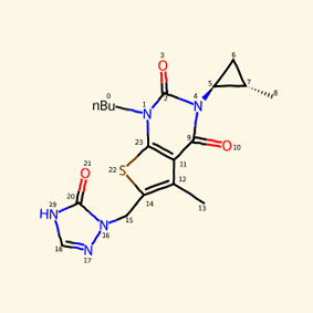 CCCCn1c(=O)n([C@H]2C[C@@H]2C)c(=O)c2c(C)c(Cn3nc[nH]c3=O)sc21